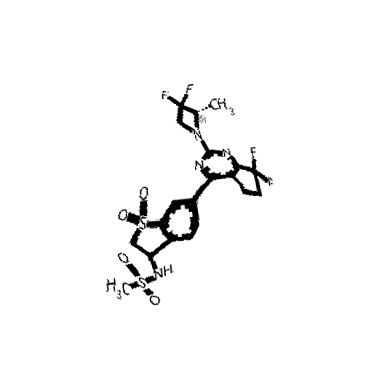 C[C@@H]1N(c2nc(-c3ccc4c(c3)S(=O)(=O)CC4NS(C)(=O)=O)c3c(n2)C(F)(F)CC3)CC1(F)F